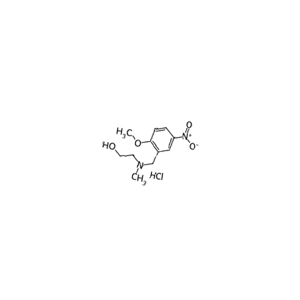 COc1ccc([N+](=O)[O-])cc1CN(C)CCO.Cl